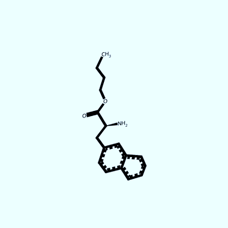 CCCCOC(=O)[C@@H](N)Cc1ccc2ccccc2c1